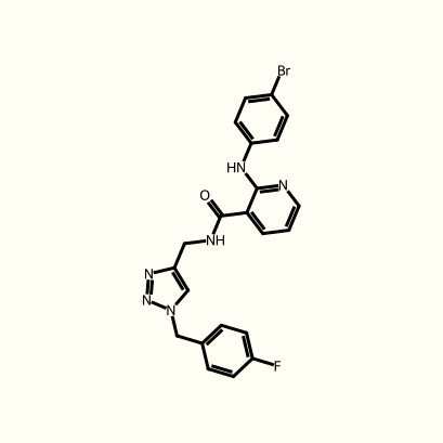 O=C(NCc1cn(Cc2ccc(F)cc2)nn1)c1cccnc1Nc1ccc(Br)cc1